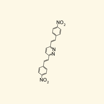 O=[N+]([O-])c1ccc(C=Cc2ccc(C=Cc3ccc([N+](=O)[O-])cc3)nn2)cc1